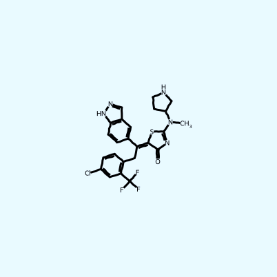 CN(C1=NC(=O)C(=C(Cc2ccc(Cl)cc2C(F)(F)F)c2ccc3[nH]ncc3c2)S1)C1CCNC1